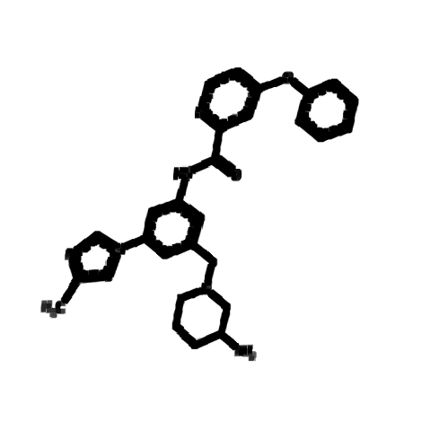 Cc1cn(-c2cc(CN3CCCC(N)C3)cc(NC(=O)c3cc(Oc4ccccc4)ccn3)c2)cn1